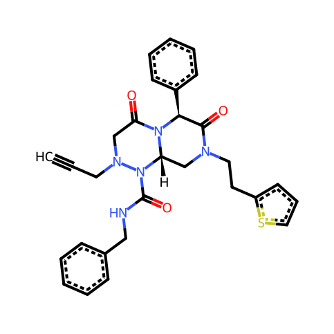 C#CCN1CC(=O)N2[C@@H](c3ccccc3)C(=O)N(CCc3cccs3)C[C@@H]2N1C(=O)NCc1ccccc1